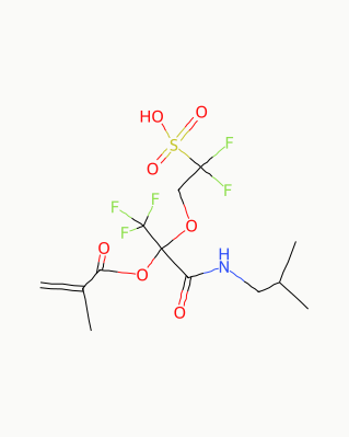 C=C(C)C(=O)OC(OCC(F)(F)S(=O)(=O)O)(C(=O)NCC(C)C)C(F)(F)F